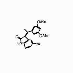 COc1cc(OC)cc(/C(C)=C2/C(=O)Nc3ccc(C(C)=O)cc32)c1